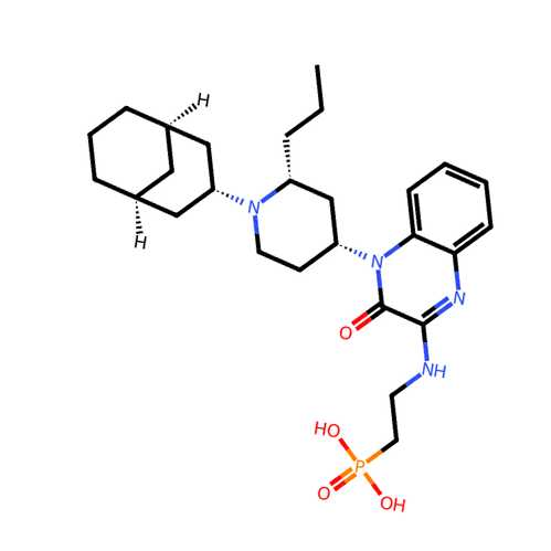 CCC[C@@H]1C[C@H](n2c(=O)c(NCCP(=O)(O)O)nc3ccccc32)CCN1[C@H]1C[C@@H]2CCC[C@@H](C2)C1